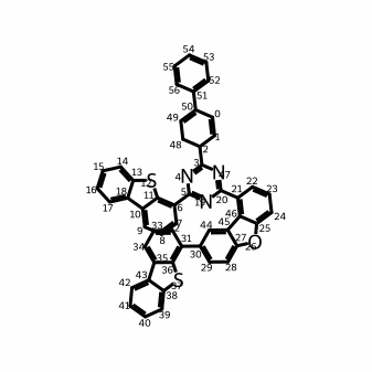 C1=CC(c2nc(-c3cccc4c3sc3ccccc34)nc(-c3cccc4oc5ccc(-c6cccc7c6sc6ccccc67)cc5c34)n2)CC=C1c1ccccc1